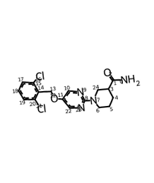 NC(=O)C1CCCN(c2ncc(OCc3c(Cl)cccc3Cl)cn2)C1